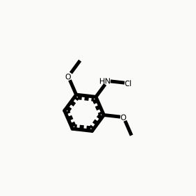 COc1cccc(OC)c1NCl